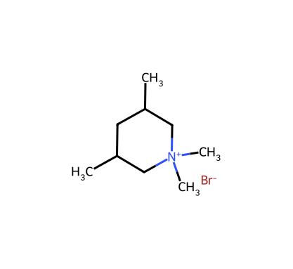 CC1CC(C)C[N+](C)(C)C1.[Br-]